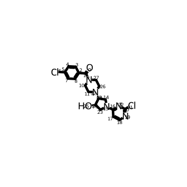 O=C(c1ccc(Cl)cc1)N1CCN([C@@H]2CN(c3ccnc(Cl)n3)C[C@H]2O)CC1